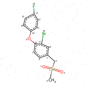 CS(=O)(=O)Cc1ccc(Oc2ccc(F)cc2)c(Br)c1